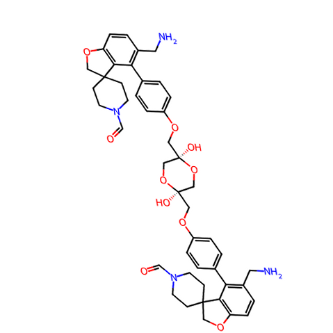 NCc1ccc2c(c1-c1ccc(OC[C@]3(O)CO[C@](O)(COc4ccc(-c5c(CN)ccc6c5C5(CCN(C=O)CC5)CO6)cc4)CO3)cc1)C1(CCN(C=O)CC1)CO2